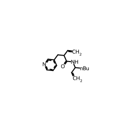 C=CC(CCCC)NC(=O)C(C=C)Cc1cccnc1